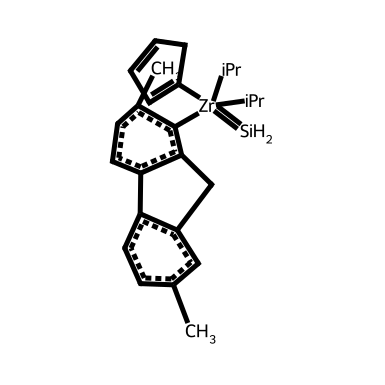 Cc1ccc2c(c1)Cc1c-2ccc(C)[c]1[Zr](=[SiH2])([C]1=CC=CC1)([CH](C)C)[CH](C)C